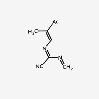 C=N/C(C#N)=N\C=C(/C)C(C)=O